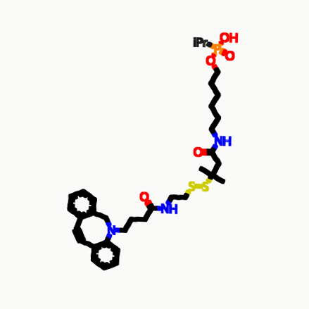 CC(C)P(=O)(O)OCCCCCCNC(=O)CC(C)(C)SSCCNC(=O)CCCN1Cc2ccccc2C#Cc2ccccc21